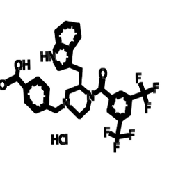 Cl.O=C(O)c1ccc(CN2CCN(C(=O)c3cc(C(F)(F)F)cc(C(F)(F)F)c3)[C@H](Cc3c[nH]c4ccccc34)C2)cc1